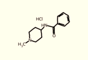 CN1CCC(NC(=O)c2ccccc2)CC1.Cl